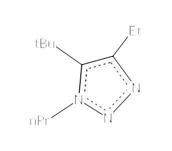 CCCn1nnc(CC)c1C(C)(C)C